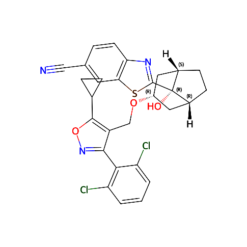 N#Cc1ccc2nc([C@]3(O)[C@@H]4CC[C@H]3C[C@@H](OCc3c(-c5c(Cl)cccc5Cl)noc3C3CC3)C4)sc2c1